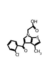 Cc1csc2c1c(C(=O)c1ccccc1Cl)cn2CC(=O)O